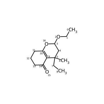 CCOC1CC(C)(CC)C2=C(CCCC2=O)O1